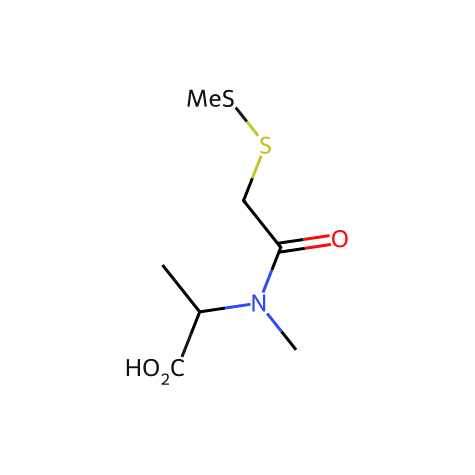 CSSCC(=O)N(C)C(C)C(=O)O